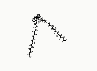 CCCCCCCCC=CCCCCCCCC(=O)P(=O)(O)C(=O)CCCCCCCC=CCCCCCCCC